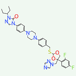 CCC(CC)n1ncn(-c2ccc(N3CCN(c4ccc(CSC5OCC(Cn6cncn6)(c6ccc(F)cc6F)O5)cc4)CC3)cc2)c1=O